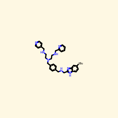 CC(C)(C)c1ccc2[nH]c(CNCc3ccc(CN(CCNCc4ccncc4)CCNCc4ccccn4)cc3)nc2c1